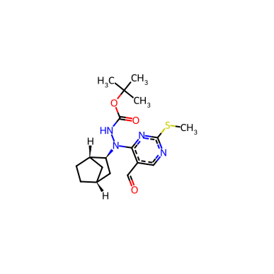 CSc1ncc(C=O)c(N(NC(=O)OC(C)(C)C)[C@H]2C[C@@H]3CC[C@H]2C3)n1